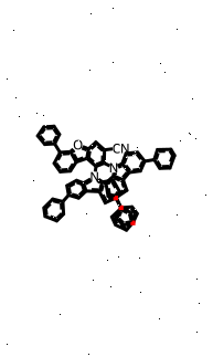 N#Cc1cc2oc3c(-c4ccccc4)cccc3c2c(-n2c3ccc(-c4ccccc4)cc3c3cc(-c4ccccc4)ccc32)c1-n1c2ccc(-c3ccccc3)cc2c2cc(-c3ccccc3)ccc21